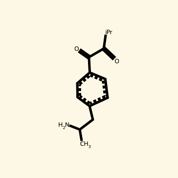 CC(N)Cc1ccc(C(=O)C(=O)C(C)C)cc1